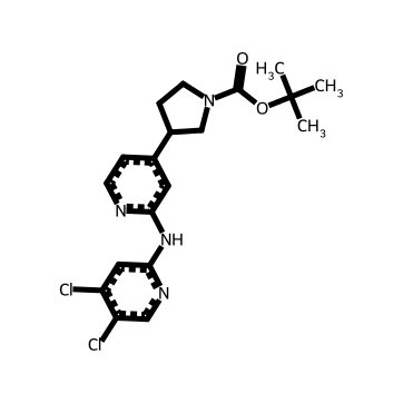 CC(C)(C)OC(=O)N1CCC(c2ccnc(Nc3cc(Cl)c(Cl)cn3)c2)C1